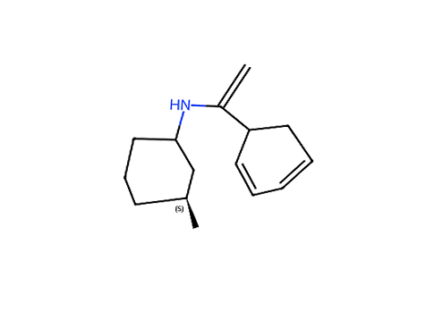 C=C(NC1CCC[C@H](C)C1)C1C=CC=CC1